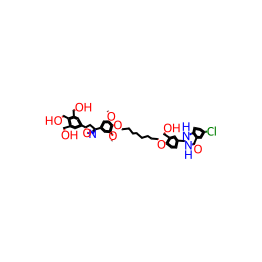 COc1cc(C2=NOC(c3cc(CO)c(CO)c(CO)c3)C2)cc(OC)c1OCCCCCCCCOc1ccc(C2NC(=O)c3cc(Cl)ccc3N2)cc1CO